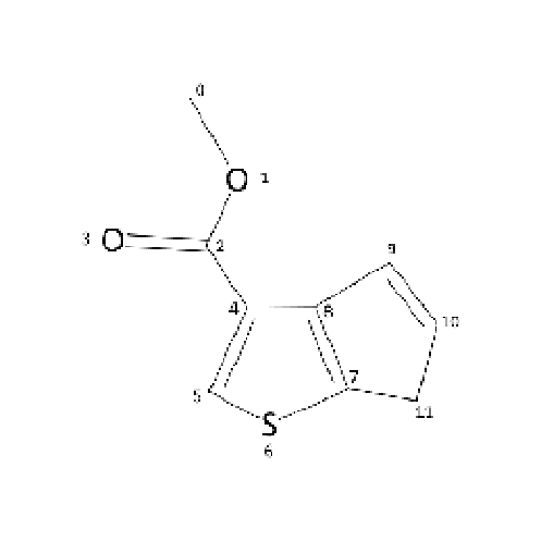 COC(=O)c1csc2c1C=CC2